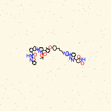 Cc1c(OC2CCC(CCCCN3CCN(c4cccc5c(C6CCC(=O)NC6=O)nn(C)c45)CC3)CC2)cccc1-c1ccc(N2CCc3cccc(C(=O)Nc4nc5ccccc5s4)c3C2)nc1C(=O)OC(C)(C)C